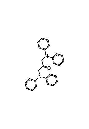 O=C(CN(c1ccccc1)c1ccccc1)CN(c1ccccc1)c1ccccc1